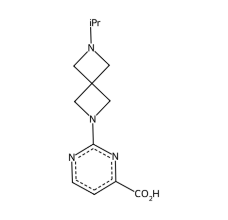 CC(C)N1CC2(CN(c3nccc(C(=O)O)n3)C2)C1